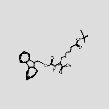 CC(C)(C)OC(=O)CCCSC[C@H](NC(=O)OCC1c2ccccc2-c2ccccc21)C(=O)O